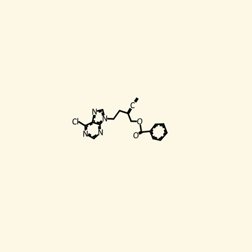 C=C=C(CCn1cnc2c(Cl)ncnc21)COC(=O)c1ccccc1